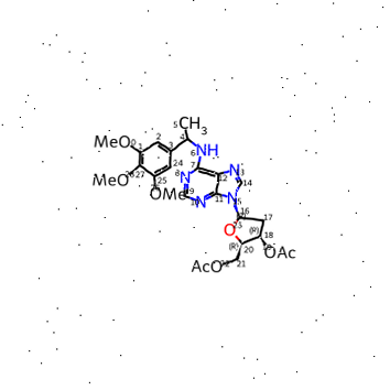 COc1cc(C(C)Nc2ncnc3c2ncn3[C@H]2C[C@@H](OC(C)=O)[C@@H](COC(C)=O)O2)cc(OC)c1OC